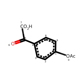 CC(=O)Oc1ccc(C(=O)C(=O)O)cc1